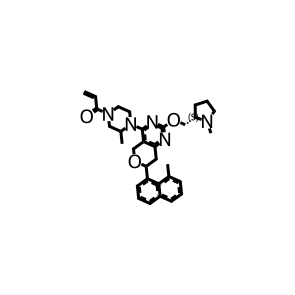 C=CC(=O)N1CCN(c2nc(OC[C@@H]3CCCN3C)nc3c2COC(c2cccc4cccc(C)c24)C3)C(C)C1